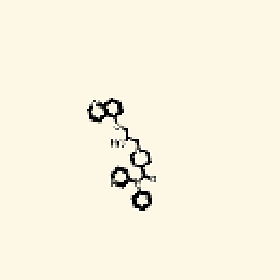 O=C(C1CCN(CC(O)COc2cccc3ncccc23)CC1)N(c1ccccc1)c1cccnc1